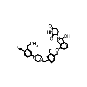 CCc1cc(N2CCN(Cc3ccc(COc4cccc5c4CN([C@H]4CCC(=O)NC4=O)C5O)c(F)c3)CC2)ccc1C#N